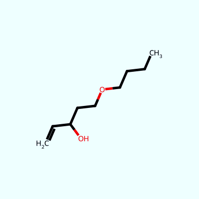 C=CC(O)CCOCCCC